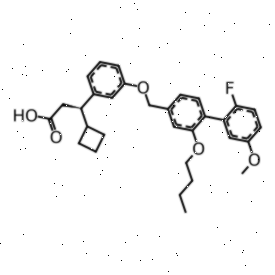 CCCCOc1cc(COc2cccc([C@H](CC(=O)O)C3CCC3)c2)ccc1-c1cc(OC)ccc1F